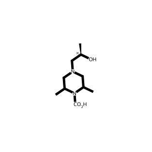 CC1CN(C[C@@H](C)O)CC(C)N1C(=O)O